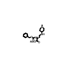 COC(=O)[C@H](CCNC1CCN(C)CC1)NC(=O)OCc1ccccc1